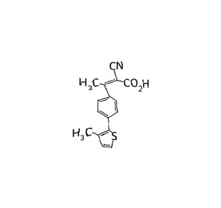 C/C(=C(\C#N)C(=O)O)c1ccc(-c2sccc2C)cc1